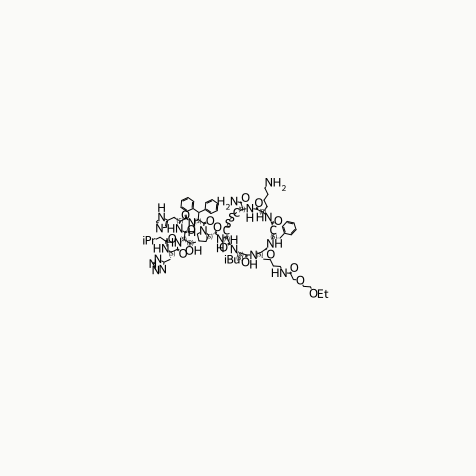 CCOCCOCC(=O)NCCCC[C@@H]1NC(=O)[C@H]([C@@H](C)CC)NC(=O)[C@@H](NC(=O)[C@@H]2CCCN2C(=O)[C@@H](NC(=O)[C@H](Cc2cnc[nH]2)NC(=O)[C@@H](NC(=O)[C@H](CC2N=NN=N2)NC(=O)CC(C)C)[C@@H](C)O)C(c2ccccc2)c2ccccc2)CSSC[C@@H](C(N)=O)NC(=O)[C@@H](CCCCN)NC(=O)C[C@H](Cc2ccccc2)NC1=O